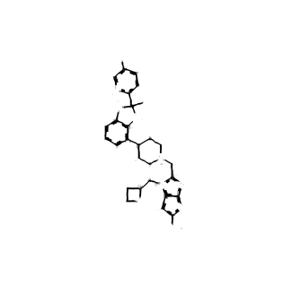 CC1(c2ccc(Cl)cn2)Oc2cccc(C3CCN(Cc4nc5sc(C=O)cc5n4CC4CCO4)CC3)c2O1